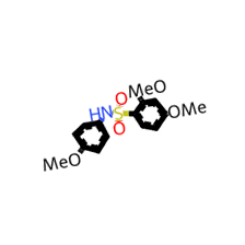 COc1ccc(NS(=O)(=O)c2ccc(OC)cc2OC)cc1